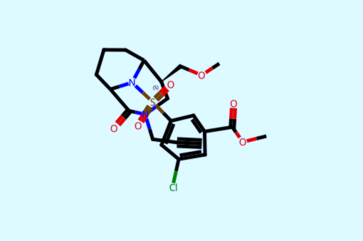 C#CCN1C[C@H](COC)C2CCCC(C1=O)N2S(=O)(=O)c1cc(Cl)cc(C(=O)OC)c1